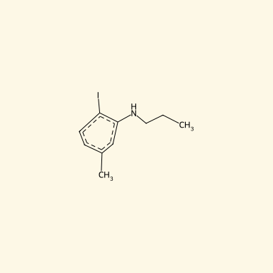 CCCNc1cc(C)ccc1I